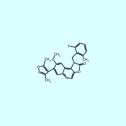 COc1cc2c(cc1-c1c(C)noc1C)ncc1oc(=O)n(Cc3c(C)cccc3F)c12